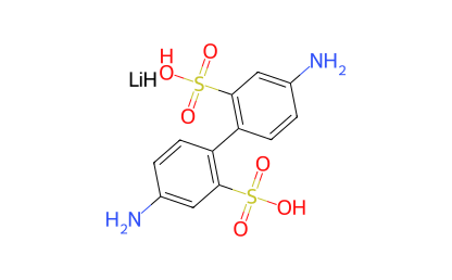 Nc1ccc(-c2ccc(N)cc2S(=O)(=O)O)c(S(=O)(=O)O)c1.[LiH]